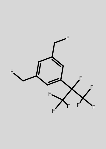 FCc1[c]c(CF)cc(C(F)(C(F)(F)F)C(F)(F)F)c1